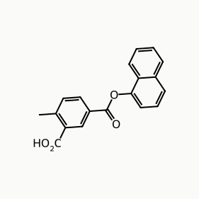 Cc1ccc(C(=O)Oc2cccc3ccccc23)cc1C(=O)O